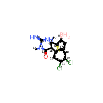 Bc1ccsc1[C@@]1(C)NC(=N)N(C)C(=O)C1c1ccc(Cl)c(Cl)c1